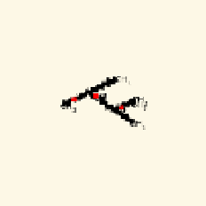 CCCCCCCCCCC(CCCCCCCCCC)CCOC(=O)CCCCCC(CCCCCCC)OC(=O)CCCN(C)C